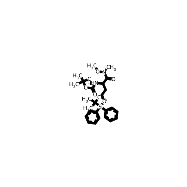 CON(C)C(=O)C(CCO[Si](c1ccccc1)(c1ccccc1)C(C)(C)C)NC(=O)OC(C)(C)C